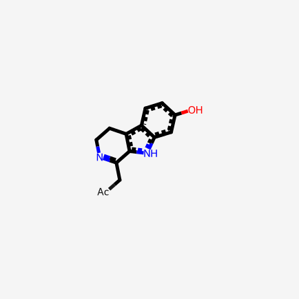 CC(=O)CC1=NCCc2c1[nH]c1cc(O)ccc21